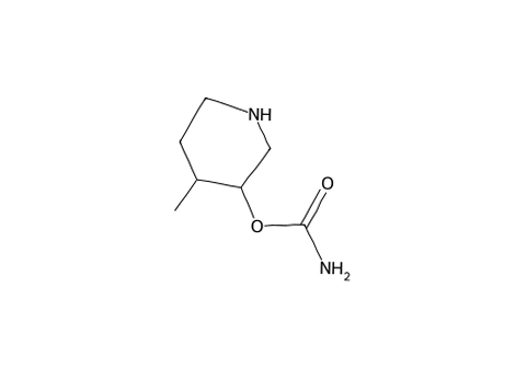 CC1CCNCC1OC(N)=O